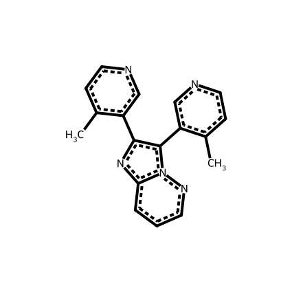 Cc1ccncc1-c1nc2cccnn2c1-c1cnccc1C